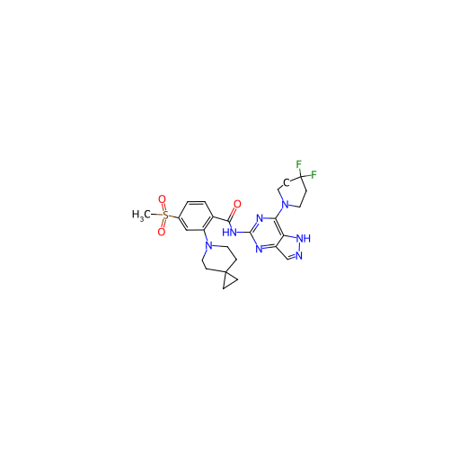 CS(=O)(=O)c1ccc(C(=O)Nc2nc(N3CCC(F)(F)CC3)c3[nH]ncc3n2)c(N2CCC3(CC2)CC3)c1